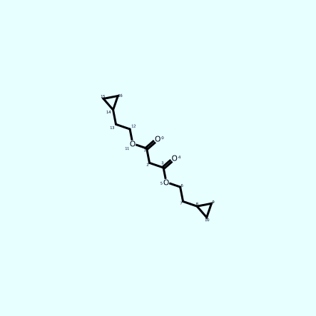 O=C(CC(=O)OCCC1CC1)OCCC1CC1